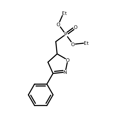 CCOP(=O)(CC1CC(c2ccccc2)=NO1)OCC